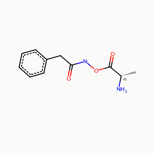 C[C@H](N)C(=O)O[N]C(=O)Cc1ccccc1